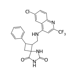 O=C1NC(=O)C2(CC(c3ccccc3)C2CNc2cc(C(F)(F)F)nc3ccc(Cl)cc23)N1